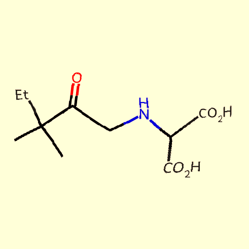 CCC(C)(C)C(=O)CNC(C(=O)O)C(=O)O